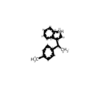 [CH2]C(c1ccc(C)cc1)c1c[nH]c2ccccc12